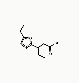 CCc1nnc(C(CC)CC(=O)O)o1